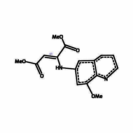 COC(=O)/C=C(\Nc1cc(OC)c2ncccc2c1)C(=O)OC